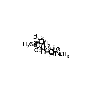 CNC(=O)c1ccc(C[C@H](N)CNC(=O)[C@@H]2[C@H](C)[C@@]2(C)c2ccccc2)cc1F